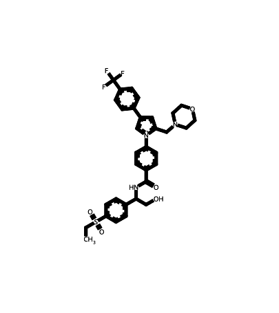 CCS(=O)(=O)c1ccc(C(CO)NC(=O)c2ccc(-n3cc(-c4ccc(C(F)(F)F)cc4)cc3CN3CCOCC3)cc2)cc1